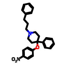 O=[N+]([O-])c1ccc(OC2(c3ccccc3)CCN(CCCc3ccccc3)CC2)cc1